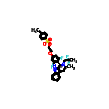 Cc1ccc(S(=O)(=O)OCCOc2cc(F)c([C@@H]3c4[nH]c5ccccc5c4C[C@@H](C)N3CC(C)(F)F)c(F)c2)cc1